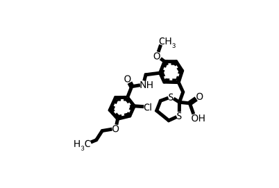 CCCOc1ccc(C(=O)NCc2cc(CC3(C(=O)O)SCCCS3)ccc2OC)c(Cl)c1